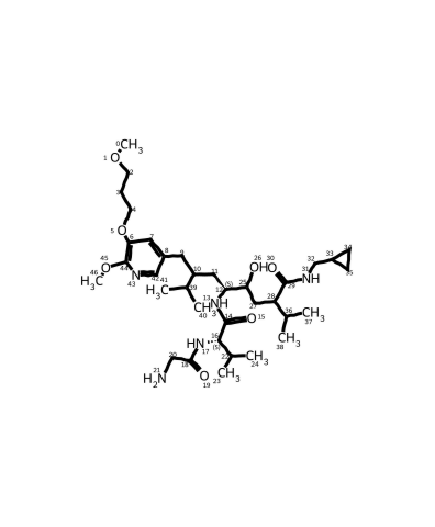 COCCCOc1cc(CC(C[C@H](NC(=O)[C@@H](NC(=O)CN)C(C)C)C(O)CC(C(=O)NCC2CC2)C(C)C)C(C)C)cnc1OC